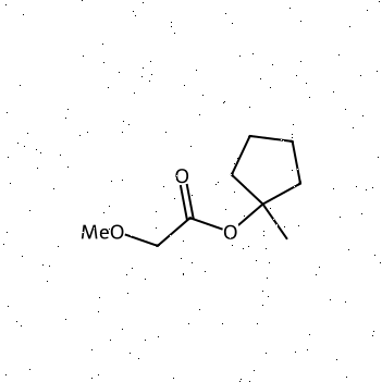 COCC(=O)OC1(C)CCCC1